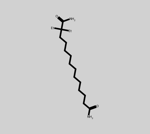 CCC(CC)(CCCCCCCCCCCC(N)=O)C(N)=O